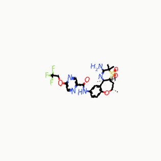 C[C@H]1C[C@@H]2[C@](C)(N=C(N)C(C)(C)S2(=O)=O)c2cc(NC(=O)c3cnc(OCC(F)(F)F)cn3)ccc2O1